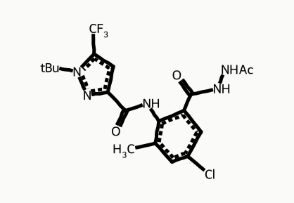 CC(=O)NNC(=O)c1cc(Cl)cc(C)c1NC(=O)c1cc(C(F)(F)F)n(C(C)(C)C)n1